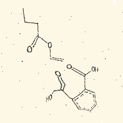 C=COC(=O)CCC.O=C(O)c1ccccc1C(=O)O